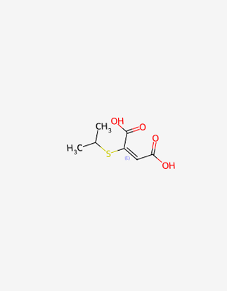 CC(C)S/C(=C/C(=O)O)C(=O)O